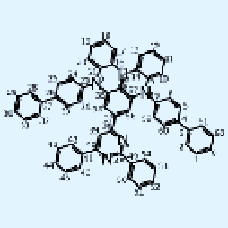 c1ccc(-c2ccc(N3c4ccccc4B4c5ccccc5N(c5ccc(-c6ccccc6)cc5)c5cc(-c6cc(-c7ccccc7)nc(-c7ccccc7)n6)cc3c54)cc2)cc1